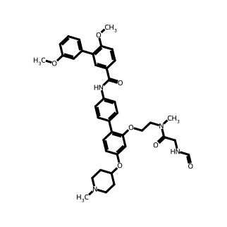 COc1cccc(-c2cc(C(=O)Nc3ccc(-c4ccc(OC5CCN(C)CC5)cc4OCCN(C)C(=O)CNC=O)cc3)ccc2OC)c1